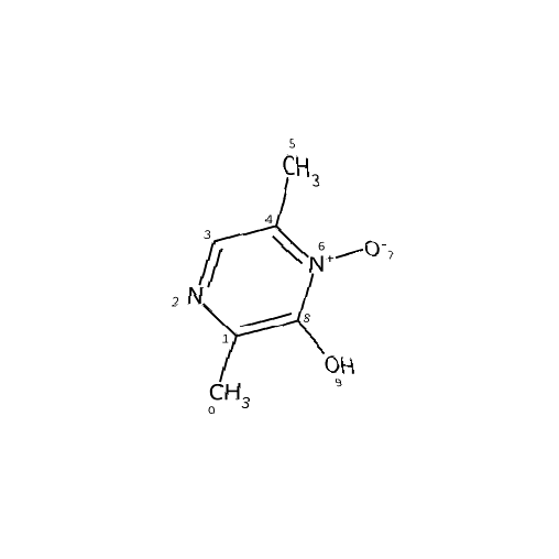 Cc1ncc(C)[n+]([O-])c1O